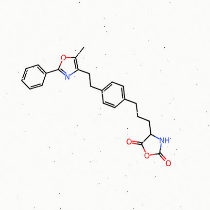 Cc1oc(-c2ccccc2)nc1CCc1ccc(CCCC2NC(=O)OC2=O)cc1